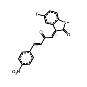 O=C(/C=C/c1ccc([N+](=O)[O-])cc1)/C=C1/C(=O)Nc2ccc(F)cc21